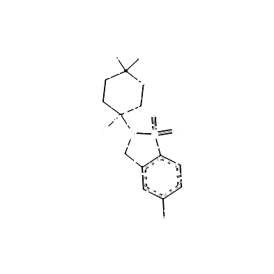 CC1(N2Cc3cc(Br)ccc3S2(=O)=O)CCC(F)(F)CC1